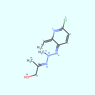 C/C=C1/N=C(Cl)C=C/C1=N/N(C)/N=C(\C)CO